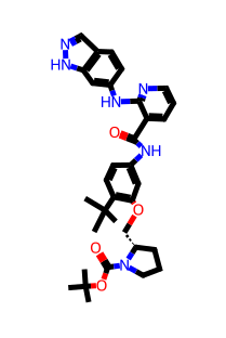 CC(C)(C)OC(=O)N1CCC[C@H]1COc1cc(NC(=O)c2cccnc2Nc2ccc3cn[nH]c3c2)ccc1C(C)(C)C